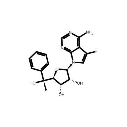 C[C@@](O)(c1ccccc1)[C@H]1O[C@@H](n2cc(F)c3c(N)ncnc32)[C@H](O)[C@@H]1O